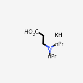 CCCN(CCC)CCC(=O)O.[KH]